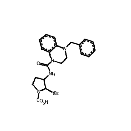 CC(C)(C)C1C(NC(=O)N2CCN(Cc3ccccc3)c3ccccc32)CCN1C(=O)O